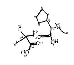 CN[C@H](C(=O)O)C1CCCC1.O=C(O)C(F)(F)F